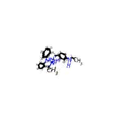 CCNc1ccc(C=[N+](NCC)N(c2ccccc2)c2ccccc2)cc1